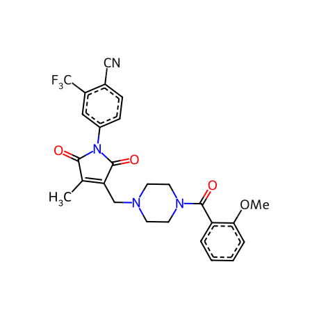 COc1ccccc1C(=O)N1CCN(CC2=C(C)C(=O)N(c3ccc(C#N)c(C(F)(F)F)c3)C2=O)CC1